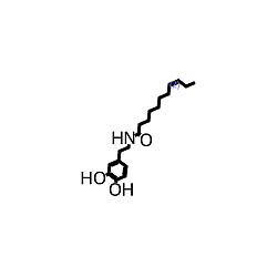 CC/C=C\CCCCCCC(=O)NCCc1ccc(O)c(O)c1